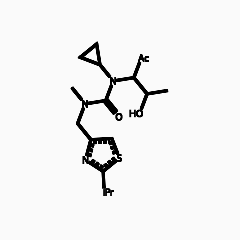 CC(=O)C(C(C)O)N(C(=O)N(C)Cc1csc(C(C)C)n1)C1CC1